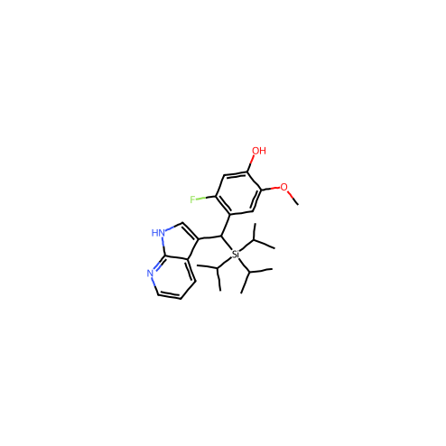 COc1cc(C(c2c[nH]c3ncccc23)[Si](C(C)C)(C(C)C)C(C)C)c(F)cc1O